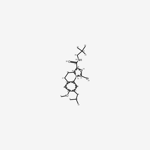 COc1cc2c(cc1CC(C)C)-n1c(Br)nc(C(=O)NCC(C)(C)C)c1CC2